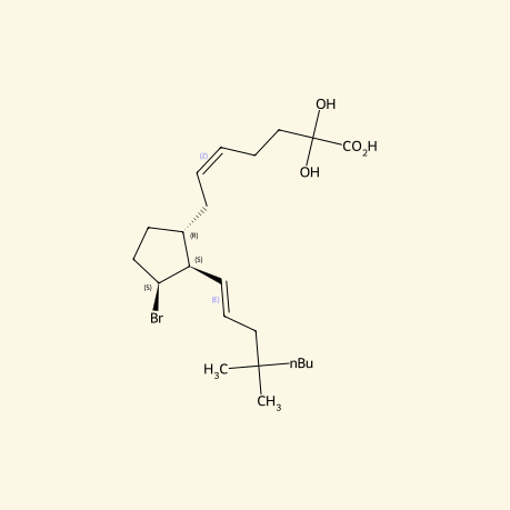 CCCCC(C)(C)C/C=C/[C@@H]1[C@@H](C/C=C\CCC(O)(O)C(=O)O)CC[C@@H]1Br